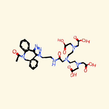 CC(=O)N1Cc2ccccc2-c2c(nnn2CCNC(=O)CN(CCN(CC(=O)O)CC(=O)O)CCN(CC(=O)O)CC(=O)O)-c2ccccc21